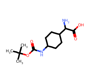 CC(C)(C)OC(=O)NC1CCC(C(N)C(=O)O)CC1